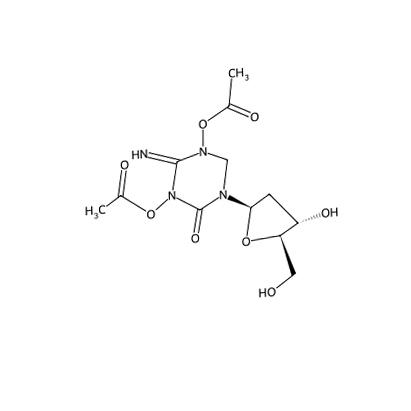 CC(=O)ON1CN([C@H]2C[C@H](O)[C@@H](CO)O2)C(=O)N(OC(C)=O)C1=N